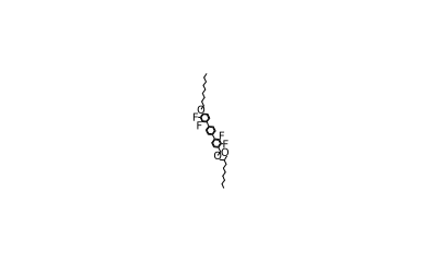 CCCCCCCCCOc1ccc(-c2ccc(-c3ccc(C4OCC(CCCCCCC)CO4)c(F)c3F)cc2)c(F)c1F